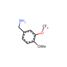 COc1ccc(CN)cc1OC(F)(F)F